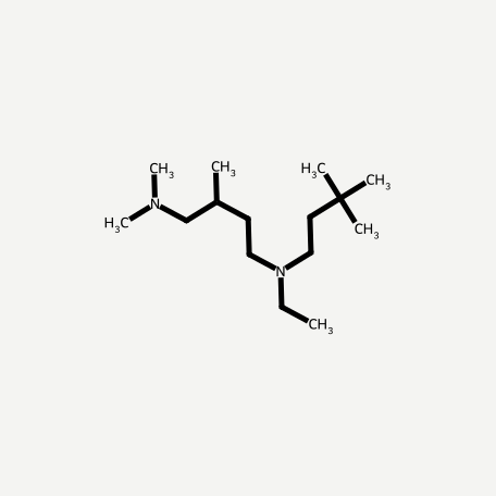 CCN(CCC(C)CN(C)C)CCC(C)(C)C